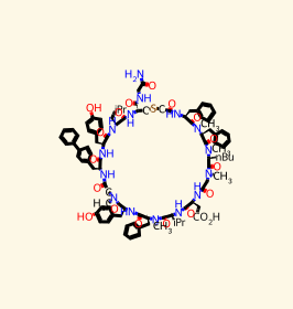 CCCC[C@H]1C(=O)N(C)CC(=O)N[C@@H](CC(=O)O)C(=O)N[C@@H](C(C)C)C(=O)N(C)[C@@H](Cc2ccccc2)C(=O)N[C@@H](Cc2ccc(O)cc2)C(=O)N(C)CC(=O)N[C@@H](Cc2ccc(-c3ccccc3)cc2)C(=O)N[C@@H](Cc2ccc(O)cc2)C(=O)N[C@@H](CC(C)C)C(=O)N[C@H](C(=O)NCC(N)=O)CSCC(=O)N[C@@H](Cc2ccccc2)C(=O)N(C)[C@@H](Cc2ccccc2)C(=O)N1C